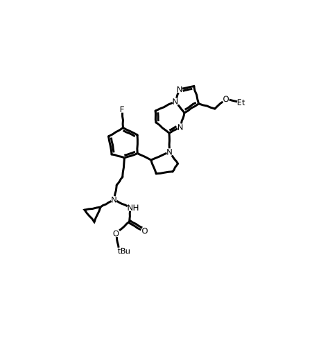 CCOCc1cnn2ccc(N3CCCC3c3cc(F)ccc3CCN(NC(=O)OC(C)(C)C)C3CC3)nc12